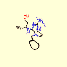 CCC[C@@H](CCO)Nc1nc(N)nc2ccn(CC3CCCCC3)c12